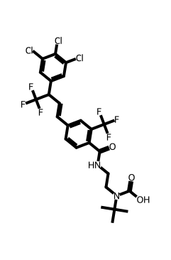 CC(C)(C)N(CCNC(=O)c1ccc(C=CC(c2cc(Cl)c(Cl)c(Cl)c2)C(F)(F)F)cc1C(F)(F)F)C(=O)O